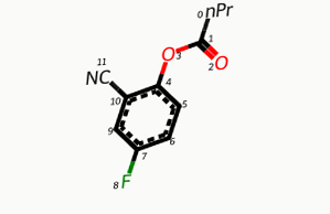 CCCC(=O)Oc1ccc(F)cc1C#N